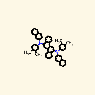 Cc1ccc(N(c2ccc3ccccc3c2)c2cc3c4ccccc4c(N(c4ccc(C)c(C)c4)c4ccc5ccccc5c4)cc3c3ccccc23)cc1C